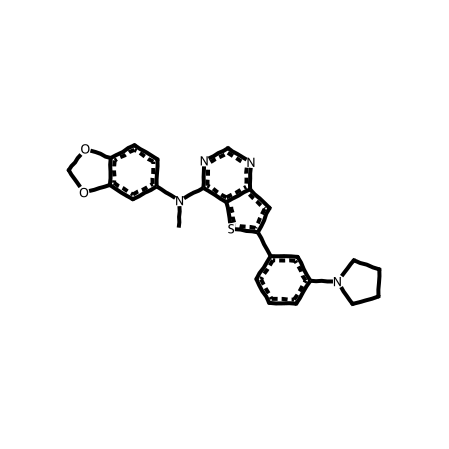 CN(c1ccc2c(c1)OCO2)c1ncnc2cc(-c3cccc(N4CCCC4)c3)sc12